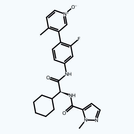 Cc1cc[n+]([O-])cc1-c1ccc(NC(=O)[C@@H](NC(=O)c2ccnn2C)C2CCCCC2)cc1F